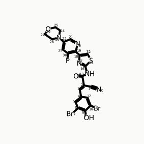 N#C/C(=C\c1cc(Br)c(O)c(Br)c1)C(=O)Nc1nc(-c2ncc(N3CCOCC3)cc2F)cs1